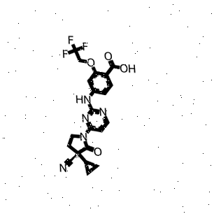 N#C[C@@]1(C2CC2)CCN(c2ccnc(Nc3ccc(C(=O)O)c(OCC(F)(F)F)c3)n2)C1=O